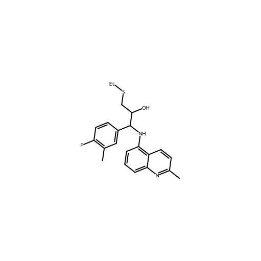 CCSCC(O)C(Nc1cccc2nc(C)ccc12)c1ccc(F)c(C)c1